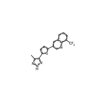 Cc1n[nH]nc1-c1ccc(-c2cnc3c(C(F)(F)F)cccc3c2)s1